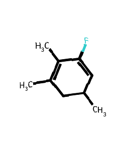 CC1=C(C)C(F)=CC(C)C1